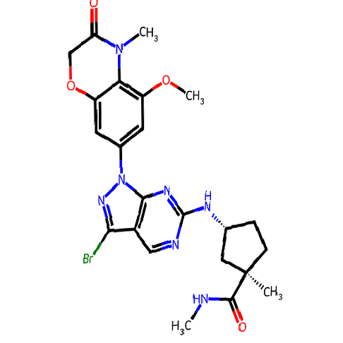 CNC(=O)[C@]1(C)CC[C@@H](Nc2ncc3c(Br)nn(-c4cc(OC)c5c(c4)OCC(=O)N5C)c3n2)C1